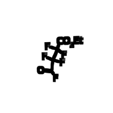 CCOC(=O)C(F)(F)C(F)(F)C(=O)F